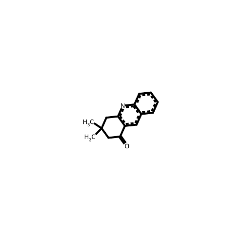 CC1(C)CC(=O)c2cc3ccccc3nc2C1